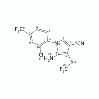 N#Cc1cn(-c2ccc(C(F)(F)F)cc2Cl)c(N)c1SC(F)(F)F